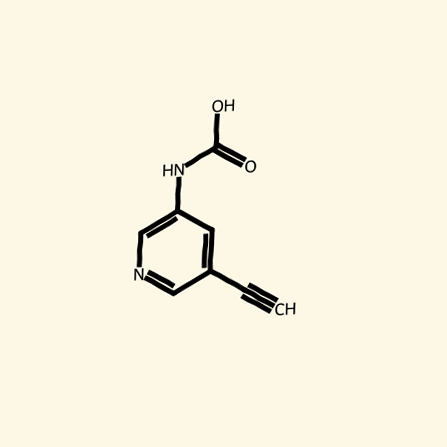 C#Cc1cncc(NC(=O)O)c1